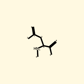 C=C(C)CC(NC)C(=C)C